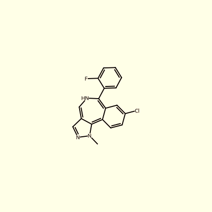 Cn1ncc2c1=c1ccc(Cl)cc1=C(c1ccccc1F)NC=2